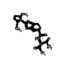 CC(=O)N(NC(=O)c1cc2sc(-n3c(C)ccc3C)nc2cn1)C(C)=O